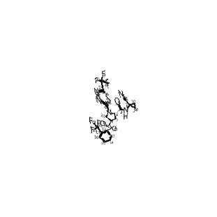 N#CC1(NC(=O)[C@@H]2C[C@@H](S(=O)(=O)c3ccccc3C(F)(F)F)CN2c2nnc(C(F)(F)F)s2)CC1